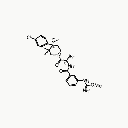 COC(=N)Nc1cccc(C(=O)N[C@@H](C(=O)N2CC[C@](O)(c3ccc(Cl)cc3)C(C)(C)C2)C(C)C)c1